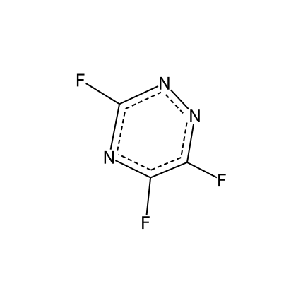 Fc1nnc(F)c(F)n1